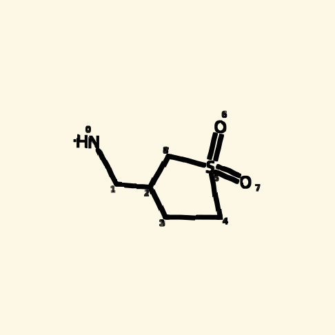 [NH]CC1CCS(=O)(=O)C1